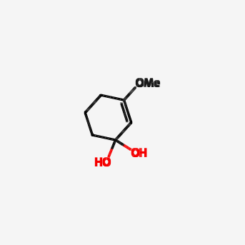 COC1=CC(O)(O)CCC1